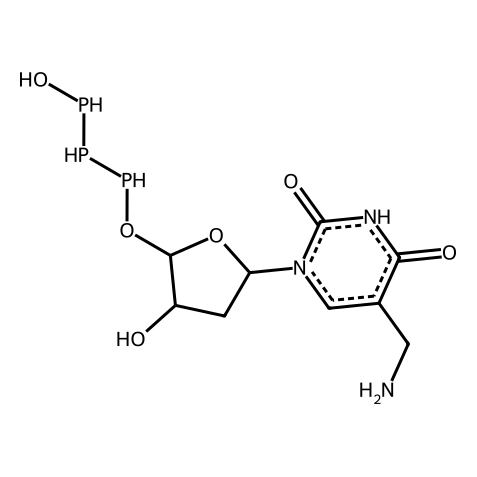 NCc1cn(C2CC(O)C(OPPPO)O2)c(=O)[nH]c1=O